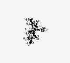 CC[C@H](C)[C@H](NC(=O)[C@H](CCC(=O)O)NC(=O)[C@H](CCC(N)=O)NC(C)=O)C(=O)N[C@@H](CCCNC(=N)N)C(=O)N[C@@H](CCSC)C(=O)N[C@@H](CCC(N)=O)C(N)=O